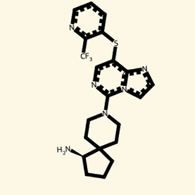 N[C@@H]1CCCC12CCN(c1ncc(Sc3cccnc3C(F)(F)F)c3nccn13)CC2